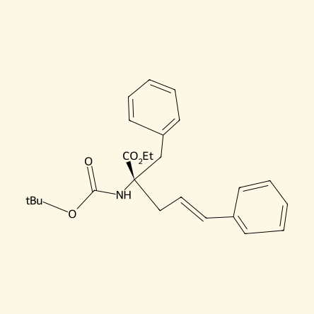 CCOC(=O)[C@](CC=Cc1ccccc1)(Cc1ccccc1)NC(=O)OC(C)(C)C